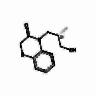 C[C@H](CO)CN1C(=O)CSc2ccccc21